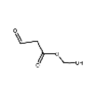 O=CCC(=O)OCO